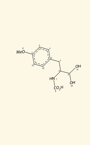 COc1ccc(CC(NC(=O)O)C(O)O)cc1